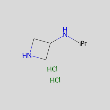 CC(C)NC1CNC1.Cl.Cl